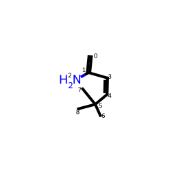 C=C(N)/C=C\C(C)(C)C